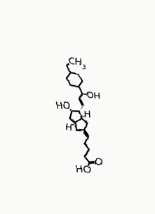 CCC1CCC([C@@H](O)/C=C/[C@@H]2[C@H]3C/C(=C/CCCC(=O)O)C[C@@H]3C[C@H]2O)CC1